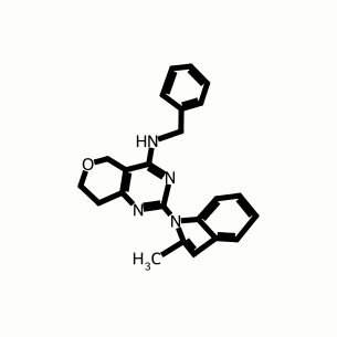 Cc1cc2ccccc2n1-c1nc2c(c(NCc3ccccc3)n1)COCC2